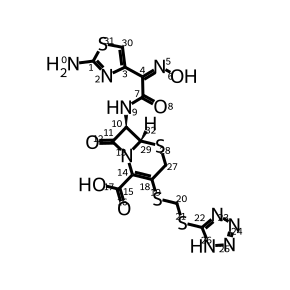 Nc1nc(/C(=N/O)C(=O)N[C@@H]2C(=O)N3C(C(=O)O)=C(SCSc4nnn[nH]4)CS[C@@H]23)cs1